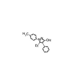 CCc1c(-c2ccccc2)c(O)nn1-c1ccc(C)cc1